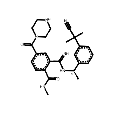 CNC(=O)c1ccc(C(=O)N2CCNCC2)cc1C(=N)N[C@H](C)c1cccc(C(C)(C)C#N)c1